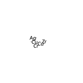 [Ag].[Cr].[Cu].[Cu].[Zr]